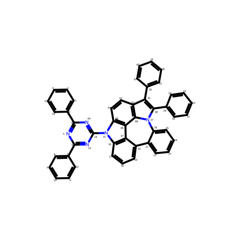 c1ccc(-c2nc(-c3ccccc3)nc(-n3c4cccc5c6ccccc6n6c(-c7ccccc7)c(-c7ccccc7)c7ccc3c(c54)c76)n2)cc1